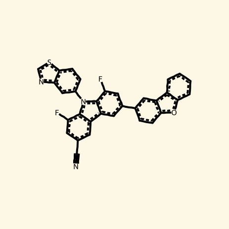 N#Cc1cc(F)c2c(c1)c1cc(-c3ccc4oc5ccccc5c4c3)cc(F)c1n2-c1ccc2scnc2c1